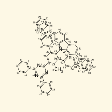 CC1C(c2nc(-c3ccccc3)nc(-c3ccccc3)n2)=CC(c2ccc(-c3ccccc3)cc2)=C(n2c3cc(-c4ccccc4)ccc3c3ccc(-c4ccccc4)cc32)[C@H]1c1ccc(-c2ccccc2)cc1